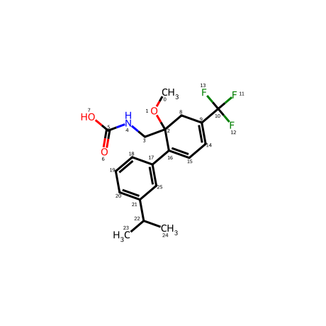 COC1(CNC(=O)O)CC(C(F)(F)F)=CC=C1c1cccc(C(C)C)c1